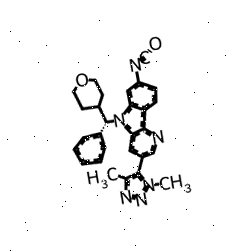 Cc1nnn(C)c1-c1cnc2c3ccc(N=C=O)cc3n([C@H](c3ccccc3)C3CCOCC3)c2c1